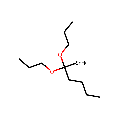 CCCC[C]([SnH])(OCCC)OCCC